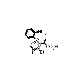 CCN(N(C)C)N(C(C)C(=O)O)S(=O)(=O)c1ccccc1[N+](=O)[O-]